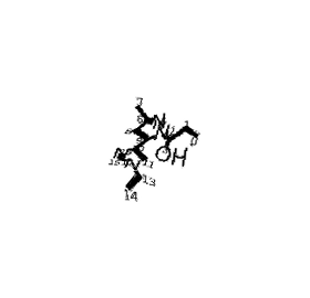 CCC(O)n1nc(C)cc1-c1cn(CC)cn1